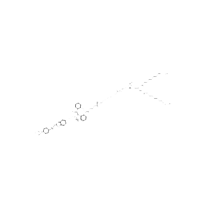 CCCCCCCCCCCCCCCCCC(=O)OCC(COP(=O)(O)OCCNC(=O)COCCOCCNC(=O)CCCC(=O)N1Cc2ccccc2/C(N)=C(/N(N)CCOc2ccc3nc(/N=N/c4ccc(N(C)C)cc4)sc3c2)c2ccccc21)OC(=O)CCCCCCCCCCCCCCCCC